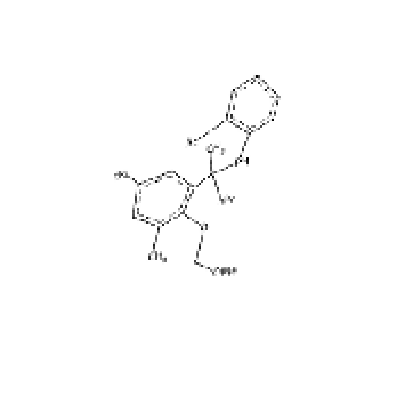 CCCC(C)(Pc1ccccc1C(C)=O)c1cc(C(C)(C)C)cc(C)c1OCOC